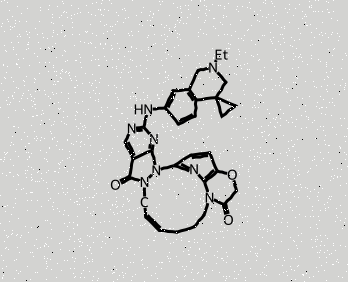 CCN1Cc2cc(Nc3ncc4c(=O)n5n(c4n3)-c3ccc4c(n3)N(CCC/C=C\C5)C(=O)CO4)ccc2C2(CC2)C1